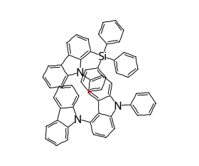 c1ccc(-n2c3ccc(-n4c5ccccc5c5cccc([Si](c6ccccc6)(c6ccccc6)c6ccccc6)c54)cc3c3c(-n4c5ccccc5c5ccccc54)cccc32)cc1